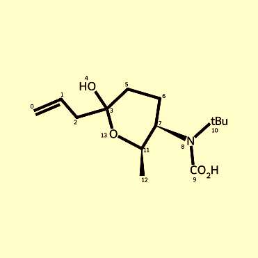 C=CCC1(O)CC[C@@H](N(C(=O)O)C(C)(C)C)[C@@H](C)O1